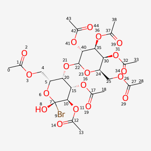 CC(=O)OC[C@H]1O[C@@](O)(Br)[C@H](OC(C)=O)[C@@H](OC(C)=O)[C@H]1OC1O[C@H](COC(C)=O)[C@H](OC(C)=O)[C@H](OC(C)=O)[C@H]1OC(C)=O